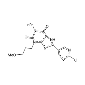 CCCn1c(=O)c2[nH]c(-c3ccc(Cl)nc3)nc2n(CCCOC)c1=O